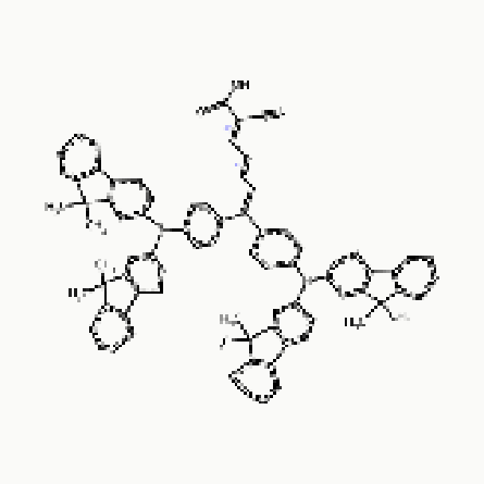 CC1(C)c2ccccc2-c2ccc(N(c3ccc(C(=C/C=C/C=C(\C#N)C(=O)O)c4ccc(N(c5ccc6c(c5)C(C)(C)c5ccccc5-6)c5ccc6c(c5)C(C)(C)c5ccccc5-6)cc4)cc3)c3ccc4c(c3)C(C)(C)c3ccccc3-4)cc21